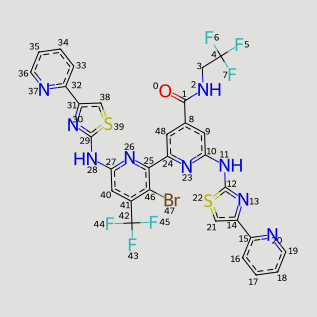 O=C(NCC(F)(F)F)c1cc(Nc2nc(-c3ccccn3)cs2)nc(-c2nc(Nc3nc(-c4ccccn4)cs3)cc(C(F)(F)F)c2Br)c1